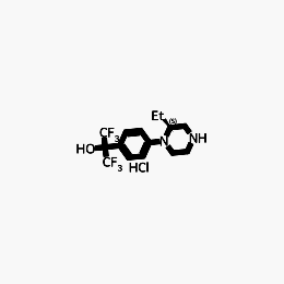 CC[C@H]1CNCCN1c1ccc(C(O)(C(F)(F)F)C(F)(F)F)cc1.Cl